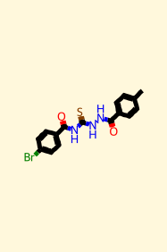 Cc1ccc(C(=O)NNC(=S)NC(=O)c2ccc(Br)cc2)cc1